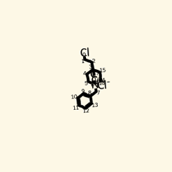 ClCCC12CC[N+](Cc3ccccc3)(CC1)CC2.[Cl-]